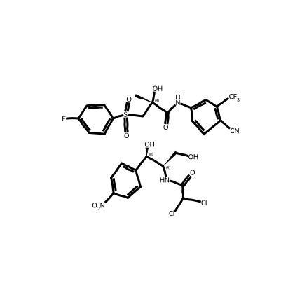 C[C@](O)(CS(=O)(=O)c1ccc(F)cc1)C(=O)Nc1ccc(C#N)c(C(F)(F)F)c1.O=C(N[C@H](CO)[C@H](O)c1ccc([N+](=O)[O-])cc1)C(Cl)Cl